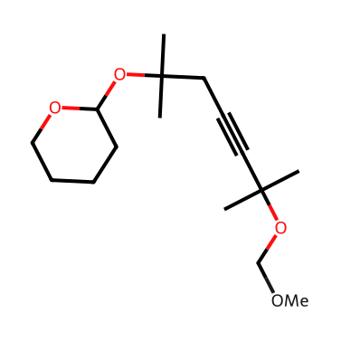 COCOC(C)(C)C#CCC(C)(C)OC1CCCCO1